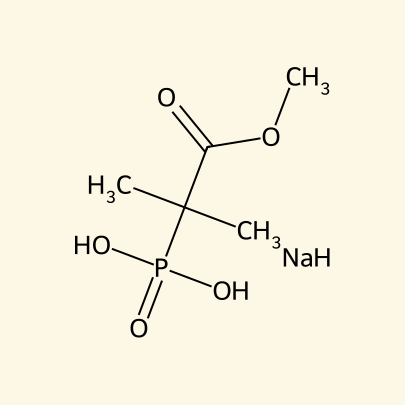 COC(=O)C(C)(C)P(=O)(O)O.[NaH]